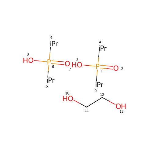 CC(C)P(=O)(O)C(C)C.CC(C)P(=O)(O)C(C)C.OCCO